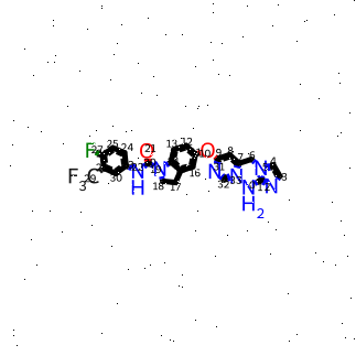 Nc1nccn1Cc1cc(Oc2ccc3c(c2)CCN3C(=O)Nc2ccc(F)c(C(F)(F)F)c2)ncn1